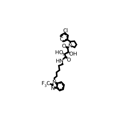 O=C(NCCCCCCn1c(C(F)(F)F)nc2ccccc21)[C@H](O)[C@@H](O)C(=O)N1CCCC1c1cccc(Cl)c1